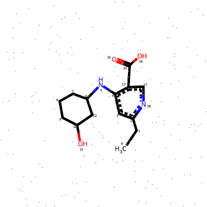 CCc1cc(NC2CCCC(O)C2)c(C(=O)O)cn1